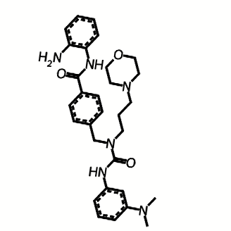 CN(C)c1cccc(NC(=O)N(CCCN2CCOCC2)Cc2ccc(C(=O)Nc3ccccc3N)cc2)c1